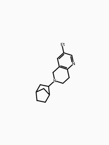 CCc1cnc2c(c1)CN(C1CC3CCC1C3)CC2